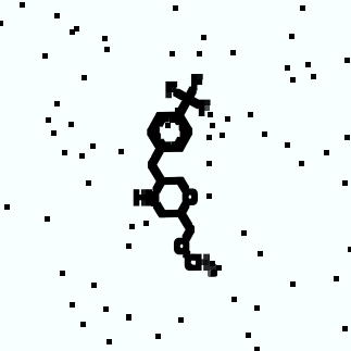 COCC1CNC(Cc2ccc(C(F)(F)F)cc2)CO1